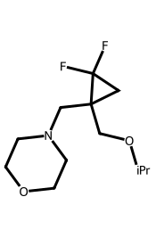 CC(C)OCC1(CN2CCOCC2)CC1(F)F